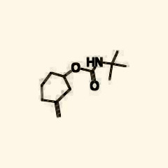 C=C1CCCC(OC(=O)NC(C)(C)C)C1